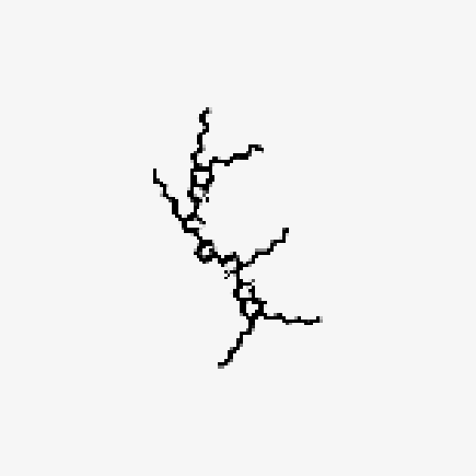 CCCCCCc1cc2cc(-c3sc(-c4ccc(-c5cc(CCCCCC)c(-c6cc7cc(CCCCCC)c(CCCCCC)cc7s6)s5)s4)cc3CCCCCC)sc2cc1CCCCCC